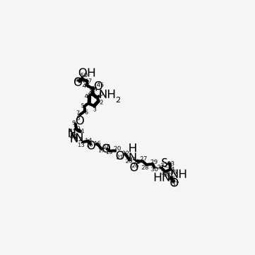 Nc1ccc(CCCOCc2cn(CCOCCOCCOCCNC(=O)CCCC[C@@H]3SCC4NC(=O)NC43)nn2)cc1C(=O)CCC(=O)O